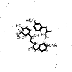 CCNC(C)Cc1cccc(C(F)(F)F)c1.COc1ccc(C[C@@H](C)NC[C@H](O)c2ccc(O)c(NC=O)c2)cc1.Cl